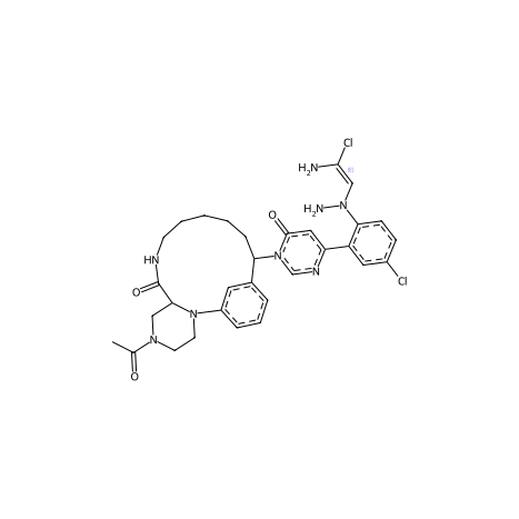 CC(=O)N1CCN2c3cccc(c3)C(n3cnc(-c4cc(Cl)ccc4N(N)/C=C(\N)Cl)cc3=O)CCCCCNC(=O)C2C1